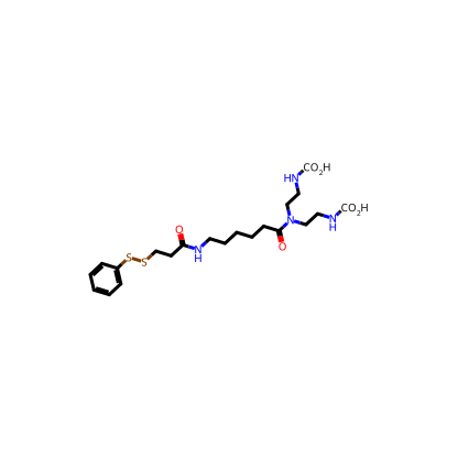 O=C(O)NCCN(CCNC(=O)O)C(=O)CCCCCNC(=O)CCSSc1ccccc1